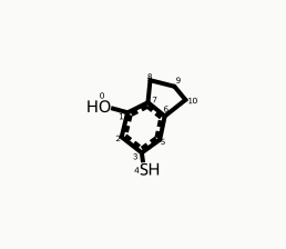 Oc1cc(S)cc2c1CCC2